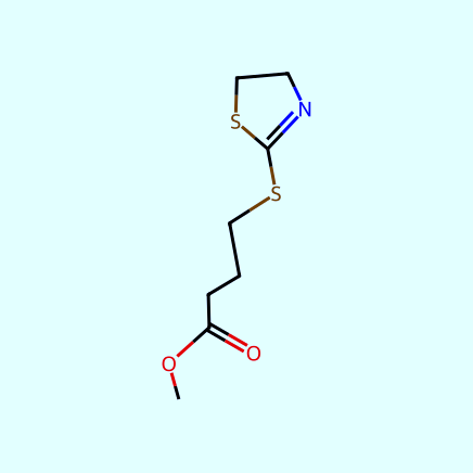 COC(=O)CCCSC1=NCCS1